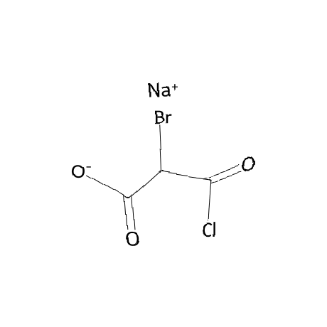 O=C([O-])C(Br)C(=O)Cl.[Na+]